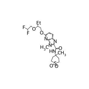 CCC(COc1ccc2nc(C(=O)NC3(C)CCS(=O)(=O)CC3)n(C)c2n1)OCC(F)F